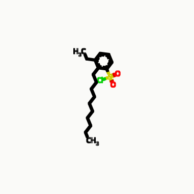 CCCCCCCCCCc1c(CC)cccc1S(=O)(=O)Cl